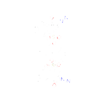 [N-]=[N+]=C1C=C(S(=O)(=O)Oc2ccccc2-c2ccccc2OS(=O)(=O)C2=CC(=[N+]=[N-])C(=O)c3ccccc32)c2ccccc2C1=O